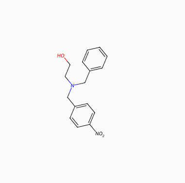 O=[N+]([O-])c1ccc(CN(CCO)Cc2ccccc2)cc1